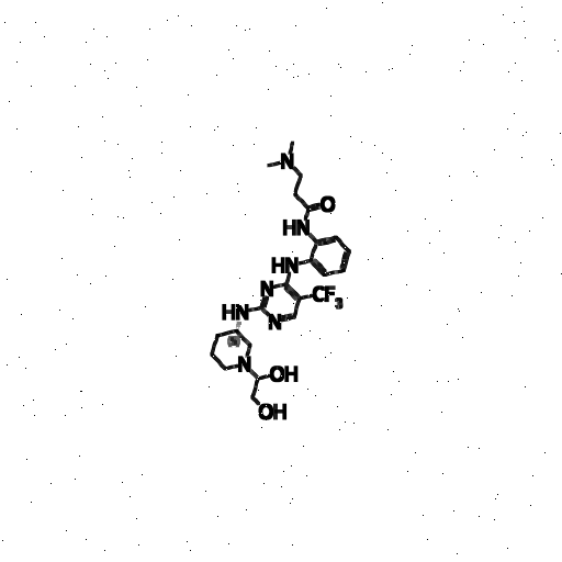 CN(C)CCC(=O)Nc1ccccc1Nc1nc(N[C@H]2CCCN(C(O)CO)C2)ncc1C(F)(F)F